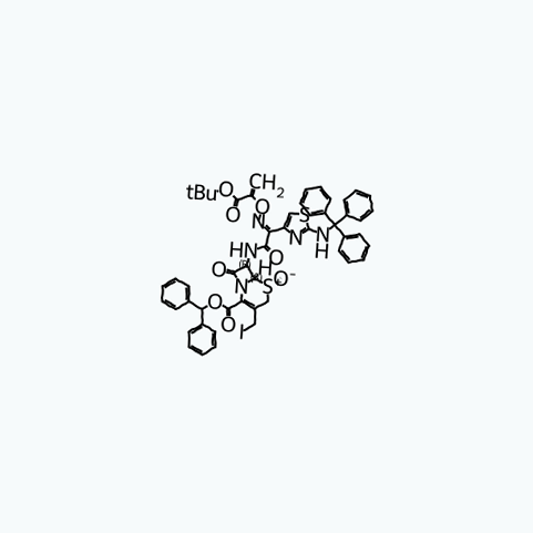 C=C(ON=C(C(=O)N[C@@H]1C(=O)N2C(C(=O)OC(c3ccccc3)c3ccccc3)=C(CI)C[S+]([O-])[C@@H]12)c1csc(NC(c2ccccc2)(c2ccccc2)c2ccccc2)n1)C(=O)OC(C)(C)C